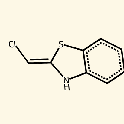 ClC=C1Nc2ccccc2S1